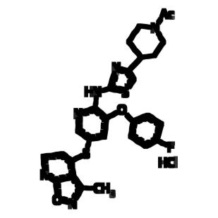 CC(=O)N1CCC(c2csc(Nc3ncc(Sc4ccnc5onc(C)c45)cc3Oc3ccc(F)cc3)n2)CC1.Cl